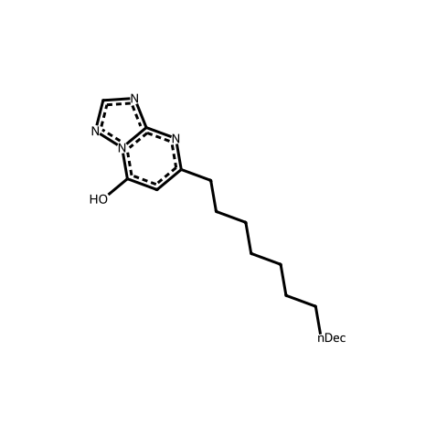 CCCCCCCCCCCCCCCCCc1cc(O)n2ncnc2n1